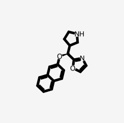 c1ccc2cc(O[C@H](c3ncco3)C3CCNC3)ccc2c1